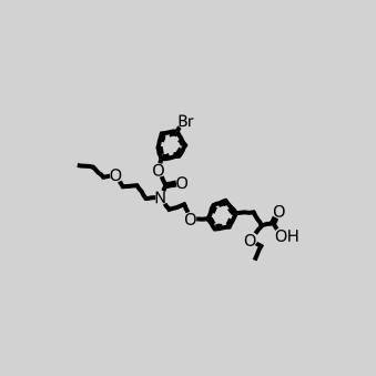 CCCOCCCN(CCOc1ccc(CC(OCC)C(=O)O)cc1)C(=O)Oc1ccc(Br)cc1